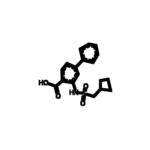 O=C(O)c1ccc(-c2ccccc2)cc1NS(=O)(=O)CC1CCC1